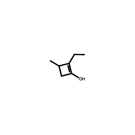 CCC1=C(O)CC1C